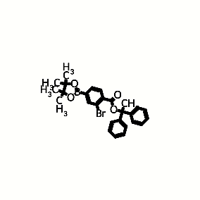 CC(OC(=O)c1ccc(B2OC(C)(C)C(C)(C)O2)cc1Br)(c1ccccc1)c1ccccc1